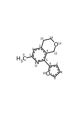 Cc1cc2c(c(-c3ccco3)n1)COCC2